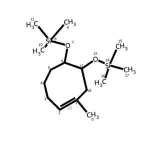 C/C1=C/CCCC(O[Si](C)(C)C)C(O[Si](C)(C)C)C1